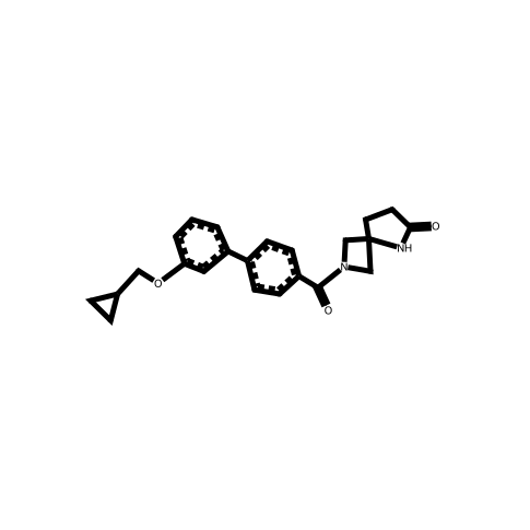 O=C1CCC2(CN(C(=O)c3ccc(-c4cccc(OCC5CC5)c4)cc3)C2)N1